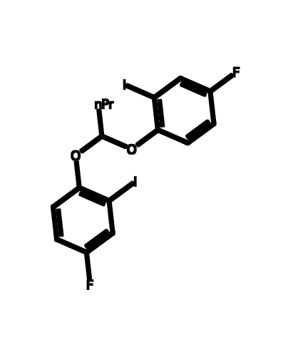 CCCC(Oc1ccc(F)cc1I)Oc1ccc(F)cc1I